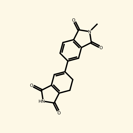 CN1C(=O)c2ccc(C3=CC4=C(CC3)C(=O)NC4=O)cc2C1=O